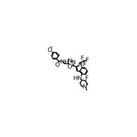 COc1ccc(C(=O)NCc2nnc(-c3cc4c(N[C@H]5CCN(C)C[C@H]5F)cccc4n3CC(F)(F)F)o2)cc1